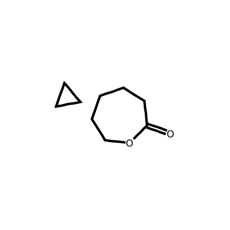 C1CC1.O=C1CCCCCO1